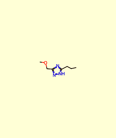 CCCc1nc(COC)n[nH]1